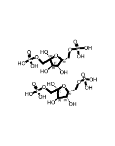 O=P(O)(O)OC[C@H]1O[C@](O)(COP(=O)(O)O)[C@H](O)[C@H]1O.O=P(O)(O)OC[C@H]1O[C@](O)(COP(=O)(O)O)[C@H](O)[C@H]1O